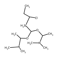 CCC(Cl)[SiH2]C(OC(C)N(C)C)OC(C)N(C)C